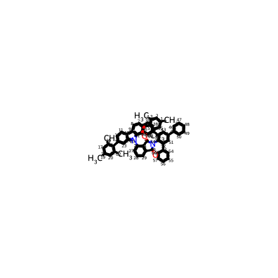 Cc1cc(C)c(-c2ccc3c4ccc(-c5c(C)cc(C)cc5C)cc4n(-c4cccc5c4C(=O)N(c4c(-c6ccccc6)cc(-c6ccccc6)cc4-c4ccccc4)C5=O)c3c2)c(C)c1